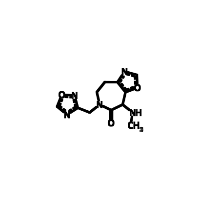 CNC1C(=O)N(Cc2ncon2)CCc2ncoc21